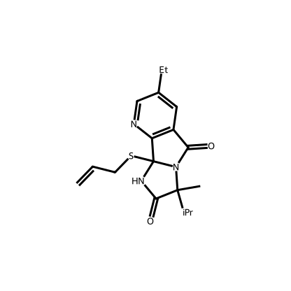 C=CCSC12NC(=O)C(C)(C(C)C)N1C(=O)c1cc(CC)cnc12